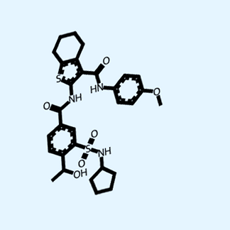 COc1ccc(NC(=O)c2c(NC(=O)c3ccc(C(C)O)c(S(=O)(=O)NC4CCCC4)c3)sc3c2CCCC3)cc1